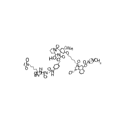 COc1cc2c(cc1OCCCCCC(=O)N1C[C@@H](CCl)c3c1cc(OC(=O)N1CCN(C)CC1)c1ccccc31)N(C(=O)OCc1ccc(NC(=O)CNC(=O)C(NC(=O)CCCCCN3C(=O)C=CC3=O)C(C)C)cc1)C(O)C1CCCN1C2=O